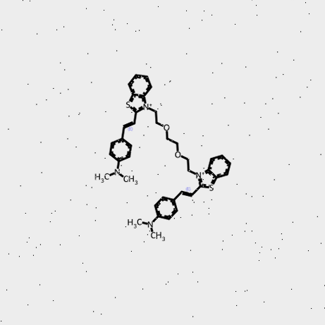 CN(C)c1ccc(/C=C/c2sc3ccccc3[n+]2CCOCCOCC[n+]2c(/C=C/c3ccc(N(C)C)cc3)sc3ccccc32)cc1